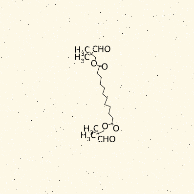 CC(C)(C=O)COC(=O)CCCCCCCCCCC(=O)OCC(C)(C)C=O